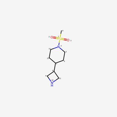 CS(=O)(=O)N1CCC(C2CNC2)CC1